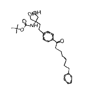 CC(C)(C)OC(=O)NC(CO)(CO)CCc1ccc(C(=O)CCCCCCc2ccccc2)cc1